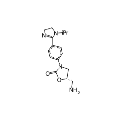 CC(C)N1CCN=C1c1ccc(N2C[C@H](CN)OC2=O)cc1